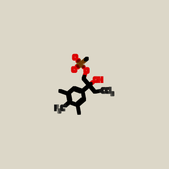 Cc1cc(C(O)(COS(C)(=O)=O)CC(Cl)(Cl)Cl)cc(C)c1C(F)(F)F